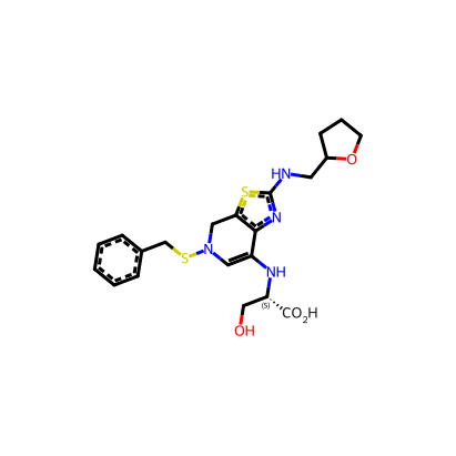 O=C(O)[C@H](CO)NC1=CN(SCc2ccccc2)Cc2sc(NCC3CCCO3)nc21